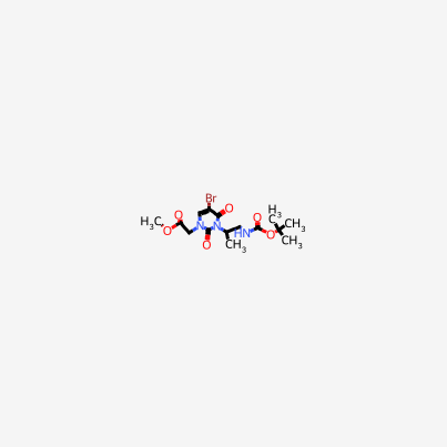 COC(=O)Cn1cc(Br)c(=O)n(C(C)CNC(=O)OC(C)(C)C)c1=O